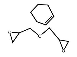 C(OCC1CO1)C1CO1.C1=CCCCC1